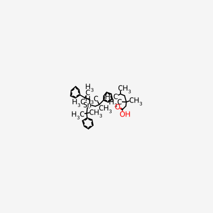 CC(C)([CH2][Sn]([CH2]C(C)(C)c1ccccc1)[CH2]C(C)(C)c1ccccc1)c1ccccc1.CC(C)CC(C)(C)CC(=O)O